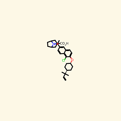 C=CC(C)(C)[C@H]1CC[C@@H](Oc2ccc3cc(C(C)N4C5CCC4CC(C(=O)O)C5)ccc3c2Cl)CC1